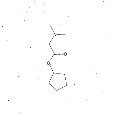 CN(C)CC(=O)OC1CCCC1